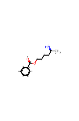 CC(=N)CCCCOC(=O)c1ccccc1